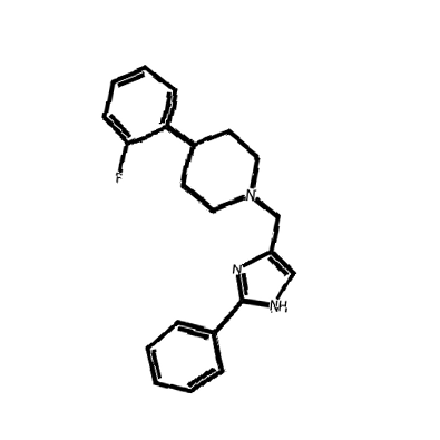 Fc1ccccc1C1CCN(Cc2c[nH]c(-c3ccccc3)n2)CC1